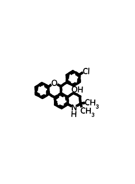 CC1(C)CC(O)c2c(ccc3c2C(c2ccc(Cl)cc2)Oc2ccccc2-3)N1